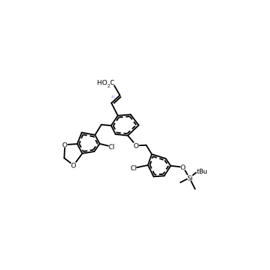 CC(C)(C)[Si](C)(C)Oc1ccc(Cl)c(COc2ccc(/C=C/C(=O)O)c(Cc3cc4c(cc3Cl)OCO4)c2)c1